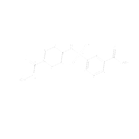 COC(=O)c1cccc(S(=O)(=O)NC2CCN(C(=O)OC(C)(C)C)CC2)c1